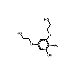 CC(=O)c1c(O)cc(OCCO)cc1OCCO